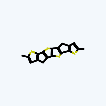 Cc1cc2c(s1)-c1sc3c4c(sc3c1C2)-c1sc(C)cc1C4